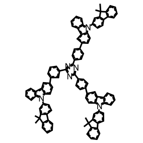 CC1(C)c2ccccc2-c2ccc(-n3c4ccccc4c4cc(-c5ccc(-c6nc(-c7ccc(-c8ccc9c(c8)c8ccccc8n9-c8ccc9c(c8)C(C)(C)c8ccccc8-9)cc7)nc(-c7cccc(-c8ccc9c(c8)c8ccccc8n9-c8ccc9c(c8)C(C)(C)c8ccccc8-9)c7)n6)cc5)ccc43)cc21